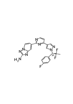 CC(F)(F)[C@@H](c1ccc(F)cc1)n1cc(-c2ccnc(-c3ccn4nc(N)nc4c3)n2)cn1